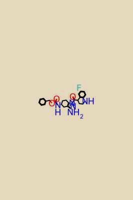 Nc1nn(C(=O)C2CCNc3ccc(F)cc32)c2c1C[C@H](NC(=O)OCc1ccccc1)CC2